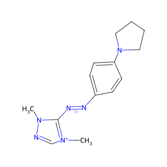 Cn1nc[n+](C)c1/N=N/c1ccc(N2CCCC2)cc1